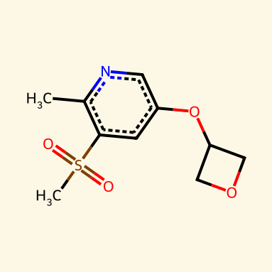 Cc1ncc(OC2COC2)cc1S(C)(=O)=O